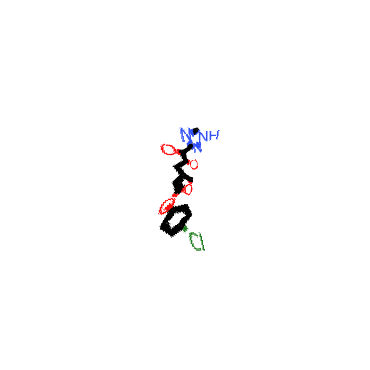 O=C(Cc1coc(Oc2ccc(Cl)cc2)c1)C(=O)c1nc[nH]n1